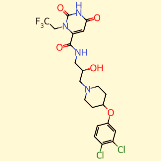 O=C(NC[C@@H](O)CN1CCC(Oc2ccc(Cl)c(Cl)c2)CC1)c1cc(=O)[nH]c(=O)n1CC(F)(F)F